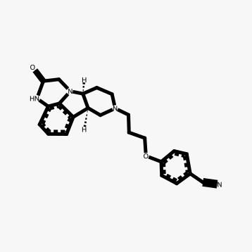 N#Cc1ccc(OCCCN2CC[C@H]3[C@@H](C2)c2cccc4c2N3CC(=O)N4)cc1